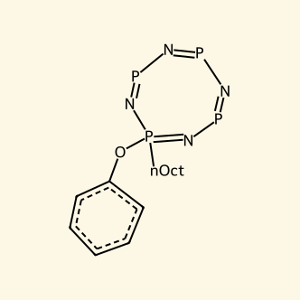 CCCCCCCCP1(Oc2ccccc2)=NP=NP=NP=N1